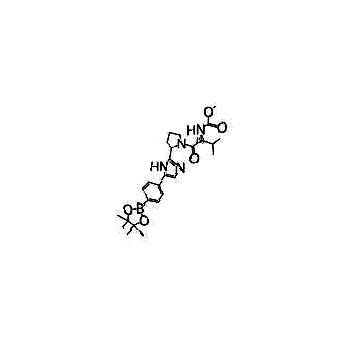 COC(=O)N[C@H](C(=O)N1CCCC1c1ncc(-c2ccc(B3OC(C)(C)C(C)(C)O3)cc2)[nH]1)C(C)C